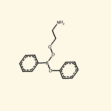 NCCOOB(Oc1ccccc1)c1ccccc1